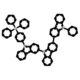 c1ccc(-n2c3ccccc3c3ccc(-c4ccc5c6ccccc6n(-c6ccc7c(c6)c6ccccc6n7-c6ccc([Si](c7ccccc7)(c7ccccc7)c7ccccc7)cc6)c5c4)cc32)cc1